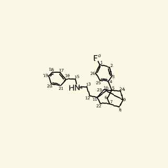 Fc1ccc(C23CC4CC(CC(CCNCc5ccccc5)(C4)C2)C3)cc1